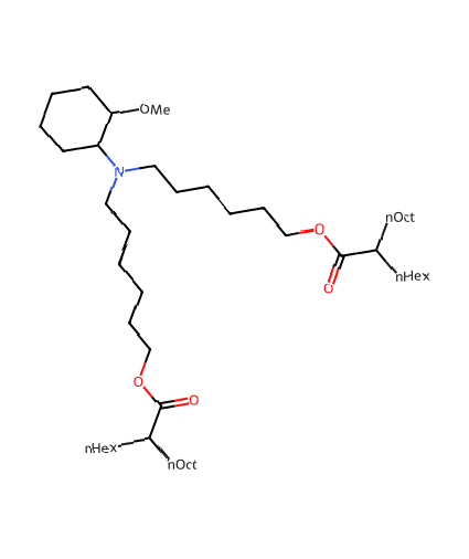 CCCCCCCCC(CCCCCC)C(=O)OCCCCCCN(CCCCCCOC(=O)C(CCCCCC)CCCCCCCC)C1CCCCC1OC